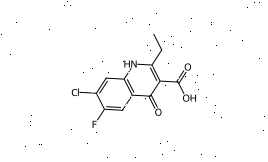 CCc1[nH]c2cc(Cl)c(F)cc2c(=O)c1C(=O)O